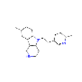 CC1CCC2C(C1)C1CNCCC1N2CCC1C=NC(C)CC1